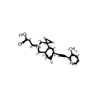 Cc1cccnc1C#Cc1ccc2c(c1)C1(CC1)CN(CCC(=O)O)C2